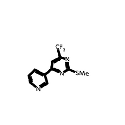 CSc1nc(-c2cccnc2)cc(C(F)(F)F)n1